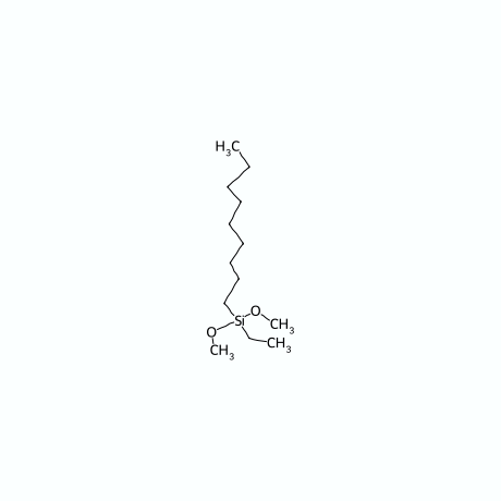 CCCCCCCCC[Si](CC)(OC)OC